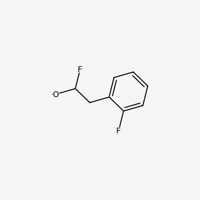 [O]C(F)Cc1ccccc1F